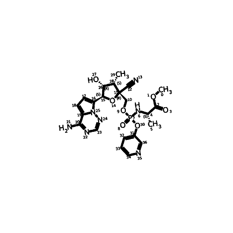 COC(=O)[C@H](C)NP(=O)(OC[C@@]1(C#N)O[C@@H](c2ccc3c(N)ncnn23)[C@H](O)[C@@H]1C)Oc1cccnc1